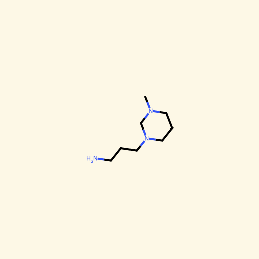 CN1CCCN(CCCN)C1